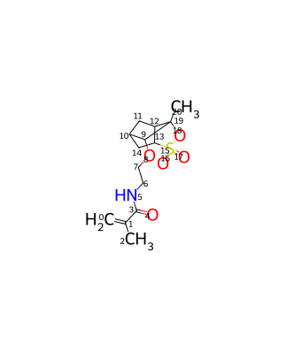 C=C(C)C(=O)NCCOC1C2CC3C(C2)S(=O)(=O)OC31C